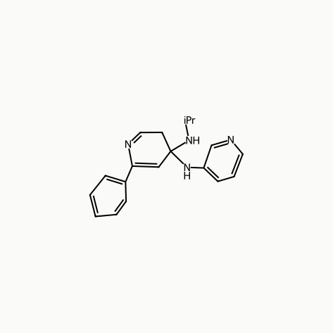 CC(C)NC1(Nc2cccnc2)C=C(c2ccccc2)N=CC1